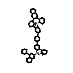 c1ccc(-c2cc(-c3ccc(-c4ccc5c(c4)c4cccc6c4n5-c4ccccc4-c4cc5ccccc5cc4-6)cc3)ccc2Nc2cc(-c3ccccc3)c3ccccc3c2)cc1